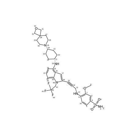 COc1cc(S(N)(=O)=O)ccc1NCC#Cc1cc2c(N[C@H]3CC[C@@H](N4CCC5(CC4)COC5)CC3)cccc2n1CC(F)(F)F